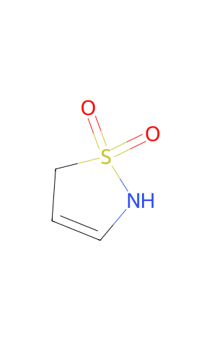 O=S1(=O)CC=CN1